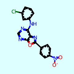 O=[N+]([O-])c1ccc(-c2nc3c(Nc4cccc(Cl)c4)ncnc3o2)cc1